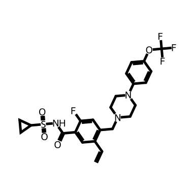 C=Cc1cc(C(=O)NS(=O)(=O)C2CC2)c(F)cc1CN1CCN(c2ccc(OC(F)(F)F)cc2)CC1